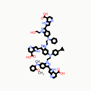 COc1ccccc1N(C)c1ccc2c(-c3cc4nccc(C(=O)O)c4[nH]3)nn(CCN(c3ccc(C4CC4)cc3)c3ccc4c(-c5cc6nccc(C(=O)O)c6[nH]5)nn(CCN(c5ccccc5)c5ccc6c(-c7cc8nccc(C(=O)O)c8[nH]7)nn(CCO)c6c5)c4c3)c2c1